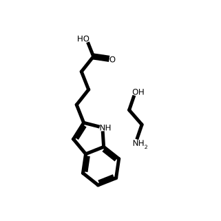 NCCO.O=C(O)CCCc1cc2ccccc2[nH]1